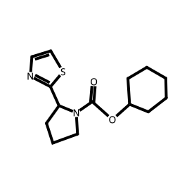 O=C(OC1CCCCC1)N1CCCC1c1nccs1